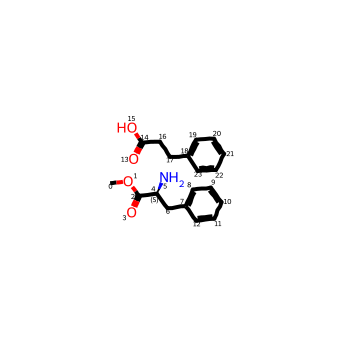 COC(=O)[C@@H](N)Cc1ccccc1.O=C(O)CCc1ccccc1